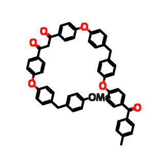 COc1ccc(Cc2ccc(Oc3ccc(C(=O)CC(=O)c4ccc(Oc5ccc(Cc6ccc(Oc7ccc(C(=O)c8ccc(C)cc8)cc7)cc6)cc5)cc4)cc3)cc2)cc1